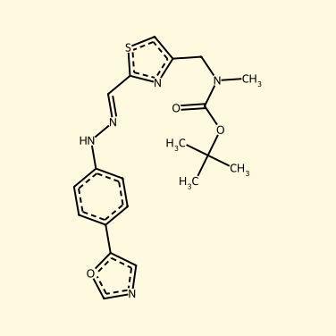 CN(Cc1csc(C=NNc2ccc(-c3cnco3)cc2)n1)C(=O)OC(C)(C)C